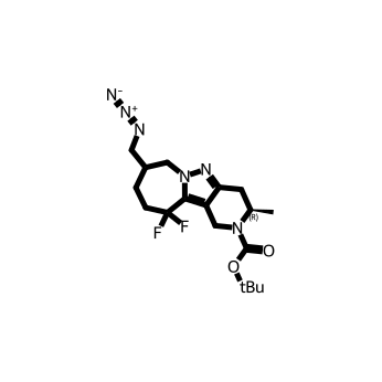 C[C@@H]1Cc2nn3c(c2CN1C(=O)OC(C)(C)C)C(F)(F)CCC(CN=[N+]=[N-])C3